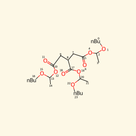 CCCCOC(C)OC(=O)CC(CC(=O)OC(C)OCCCC)C(=O)OC(C)OCCCC